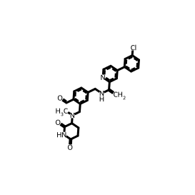 C=C(NCc1ccc(C=O)c(CN(C)C2CCC(=O)NC2=O)c1)c1cc(-c2cccc(Cl)c2)ccn1